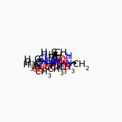 C=CCNC(=O)C(=O)C(C)NC(=O)[C@@H]1[C@@H]2[C@H](CN1C(=O)[C@@H](NC(=O)N[C@H](CN(C)S(C)(=O)=O)C(C)(C)C)C(C)(C)C)C2(C)C